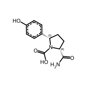 NC(=O)[C@H]1CC[C@@H](c2ccc(O)cc2)N1C(=O)O